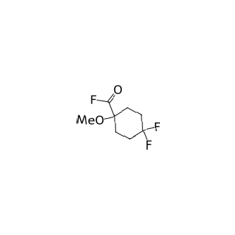 COC1(C(=O)F)CCC(F)(F)CC1